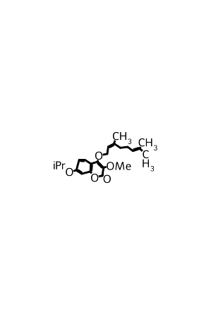 COc1c(OCC=C(C)CCC=C(C)C)c2ccc(OC(C)C)cc2oc1=O